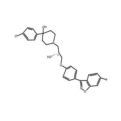 O[C@@H](COc1ccc(-c2noc3cc(F)ccc23)cc1)CN1CCC(O)(c2ccc(Cl)cc2)CC1